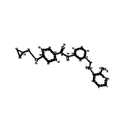 Nc1ncccc1NCc1cccc(NC(=O)c2cnc(OCC3CC3)cn2)c1